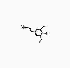 CCc1cc(C=CC#N)cc(CC)c1Br